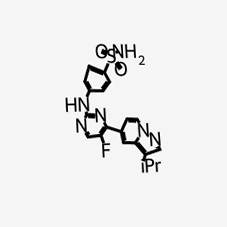 CC(C)c1cnn2ccc(-c3nc(Nc4ccc(S(N)(=O)=O)cc4)ncc3F)cc12